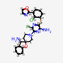 Nc1nc(N2CCC3(CC2)Oc2ccccc2[C@H]3N)c(F)nc1Sc1cccc(-c2ncco2)c1Cl